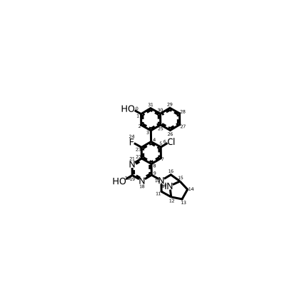 Oc1cc(-c2c(Cl)cc3c(N4CC5CCC(C4)N5)nc(O)nc3c2F)c2ccccc2c1